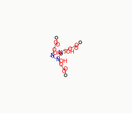 CC1CC(C[C@H]2CC(c3ccc(CSCC(O)COCCCC(=O)OCc4ccccc4)nc3)CN2CC(O)COCCCC(=O)OCc2ccccc2)CN1CC(O)COCCCC(=O)OCc1ccccc1